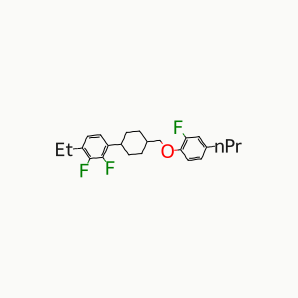 CCCc1ccc(OCC2CCC(c3ccc(CC)c(F)c3F)CC2)c(F)c1